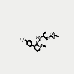 C=CC(NC/N=C1/C(c2ccc(C(F)(F)F)cc2)CCCN1N=C)C1CN1c1nc(C)no1